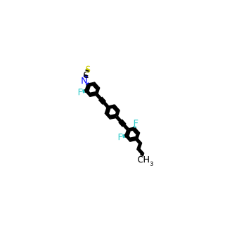 CCCCc1cc(F)c(C#Cc2ccc(C#Cc3ccc(N=C=S)c(F)c3)cc2)c(F)c1